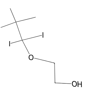 CC(C)(C)C(I)(I)OCCO